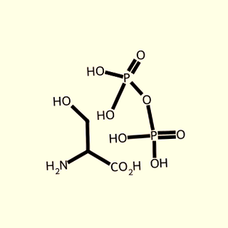 NC(CO)C(=O)O.O=P(O)(O)OP(=O)(O)O